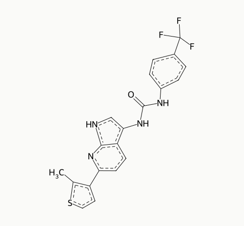 Cc1sccc1-c1ccc2c(NC(=O)Nc3ccc(C(F)(F)F)cc3)c[nH]c2n1